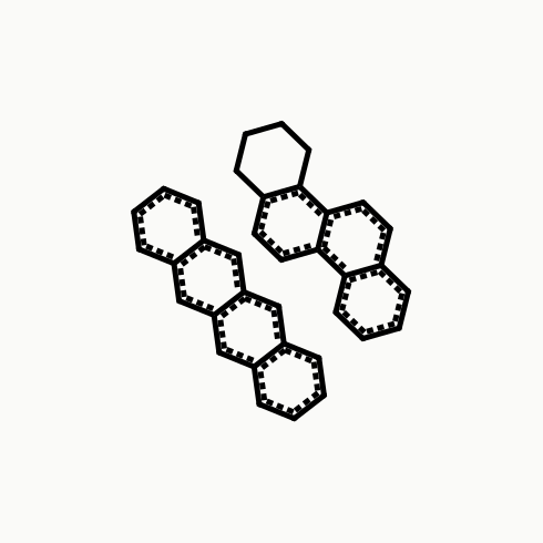 c1ccc2c(c1)ccc1c3c(ccc12)CCCC3.c1ccc2cc3cc4ccccc4cc3cc2c1